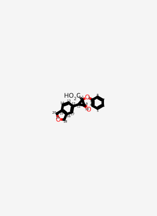 O=C(O)C1(Oc2ccccc2)C(=O)C1c1ccc2c(c1)COC2